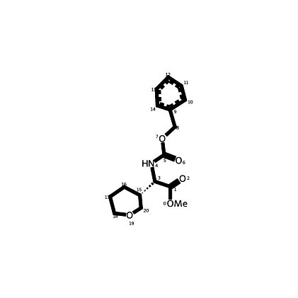 COC(=O)C(NC(=O)OCc1ccccc1)[C@H]1CCCOC1